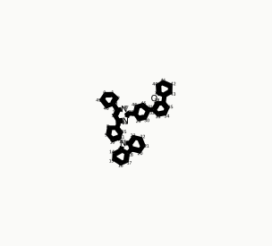 c1ccc(-c2cc(-c3cccc(-n4c5ccccc5c5ccccc54)c3)nc(-c3ccc(-c4cccc5c4oc4ccccc45)cc3)n2)cc1